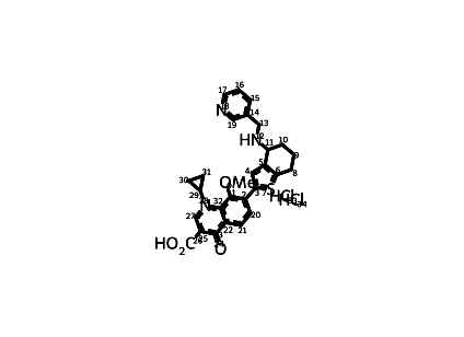 COc1c(-c2cc3c(s2)CCCC3NCc2cccnc2)ccc2c(=O)c(C(=O)O)cn(C3CC3)c12.Cl.Cl